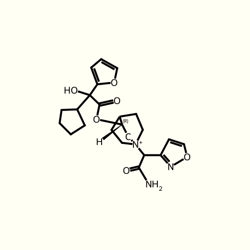 NC(=O)C(c1ccon1)[N+]12CCC(CC1)[C@@H](OC(=O)C(O)(c1ccco1)C1CCCC1)C2